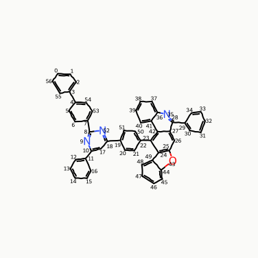 c1ccc(-c2ccc(-c3nc(-c4ccccc4)cc(-c4ccc(-c5c6c(cc7c(-c8ccccc8)nc8ccccc8c57)oc5ccccc56)cc4)n3)cc2)cc1